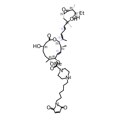 CC[C@H](O)[C@@H](C)[C@@H]1O[C@H]1C[C@@](C)(O)/C=C/C=C(\C)[C@H]1OC(=O)C[C@H](O)CC[C@@](C)(OC)[C@H](OC(=O)N2CC[N+](C)(CCCCCCN3C(=O)C=CC3=O)CC2)/C=C/[C@@H]1C